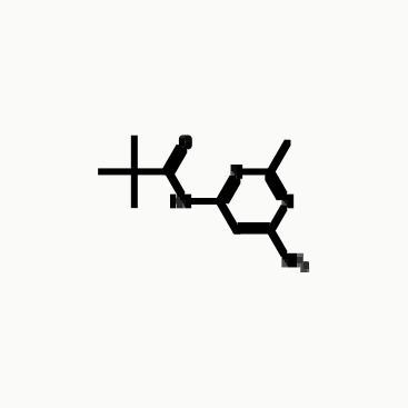 Cc1nc(N)cc(NC(=O)C(C)(C)C)n1